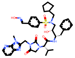 CC(C)[C@@H](C(=O)N[C@@H](Cc1ccccc1)[C@H](O)CN(CC1CCCC1)S(=O)(=O)c1ccc(C=NO)cc1)N1CC(=O)N(Cc2nc3cccnc3n2C)C1=O